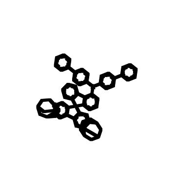 c1ccc(-c2ccc(N(c3ccc(-c4ccccc4)cc3)c3cccc4c3-c3ccccc3C43c4cc5c(cc4-c4cc6c(cc43)C3CC4CC(CC6C4)C3)C3CC4CC(C3)CC5C4)cc2)cc1